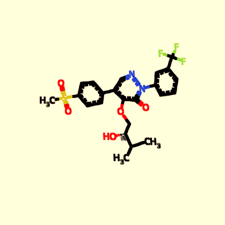 CC(C)[C@H](O)COc1c(-c2ccc(S(C)(=O)=O)cc2)cnn(-c2cccc(C(F)(F)F)c2)c1=O